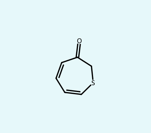 O=C1C=CC=CSC1